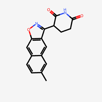 Cc1ccc2cc3onc(C4CCC(=O)NC4=O)c3cc2c1